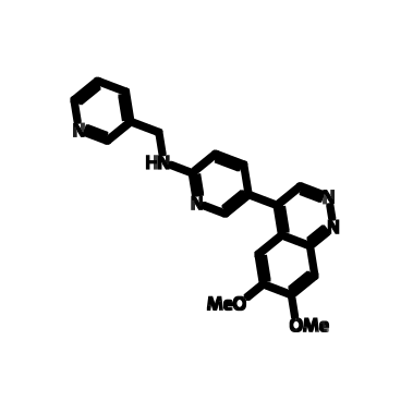 COc1cc2nncc(-c3ccc(NCc4cccnc4)nc3)c2cc1OC